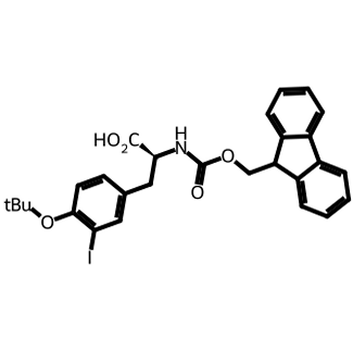 CC(C)(C)Oc1ccc(C[C@H](NC(=O)OCC2c3ccccc3-c3ccccc32)C(=O)O)cc1I